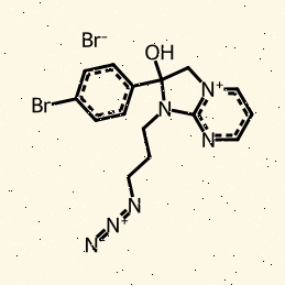 [Br-].[N-]=[N+]=NCCCN1c2nccc[n+]2CC1(O)c1ccc(Br)cc1